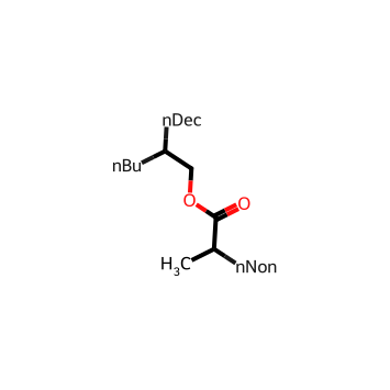 CCCCCCCCCCC(CCCC)COC(=O)C(C)CCCCCCCCC